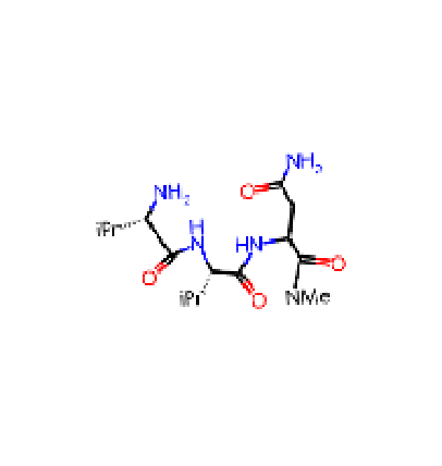 CNC(=O)C(CC(N)=O)NC(=O)[C@@H](NC(=O)[C@@H](N)C(C)C)C(C)C